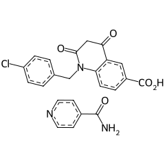 NC(=O)c1ccncc1.O=C(O)c1ccc2c(c1)C(=O)CC(=O)N2Cc1ccc(Cl)cc1